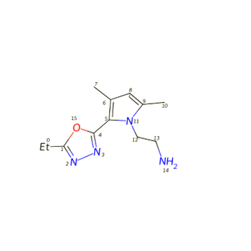 CCc1nnc(-c2c(C)[c]c(C)n2CCN)o1